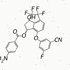 N#Cc1cc(F)cc(Oc2ccc3c4c2[C@@H](OC(=O)c2ccc([N+](=O)[O-])cc2)C[C@]4(O)C(F)(F)C3(F)F)c1